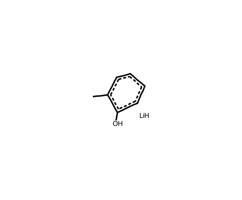 Cc1ccccc1O.[LiH]